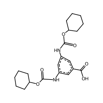 O=C(Nc1cc(NC(=O)OC2CCCCC2)cc(C(=O)O)c1)OC1CCCCC1